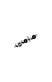 O=C(Nc1ccc(CC(=O)N2CCN(CC(F)F)CC2)cc1)OCc1ccc(Cl)cc1